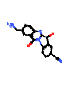 N#Cc1ccc2c(c1)C(=O)c1nc3ccc(CN)cc3c(=O)n1-2